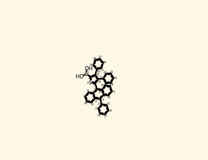 OB(O)c1sc(-c2c3ccccc3c(-c3ccccc3)c3ccccc23)c(-c2ccccc2)c1-c1ccccc1